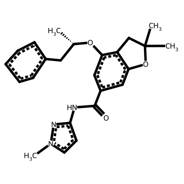 C[C@@H](Cc1ccccc1)Oc1cc(C(=O)Nc2ccn(C)n2)cc2c1CC(C)(C)O2